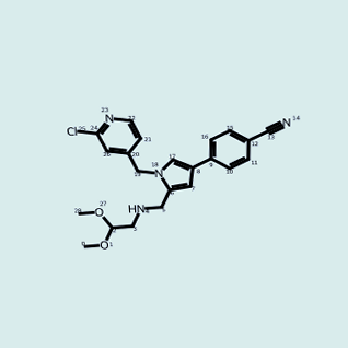 COC(CNCc1cc(-c2ccc(C#N)cc2)cn1Cc1ccnc(Cl)c1)OC